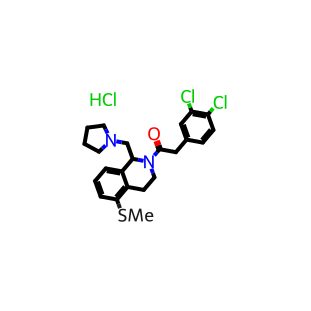 CSc1cccc2c1CCN(C(=O)Cc1ccc(Cl)c(Cl)c1)C2CN1CCCC1.Cl